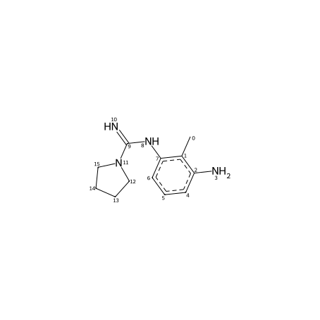 Cc1c(N)cccc1NC(=N)N1CCCC1